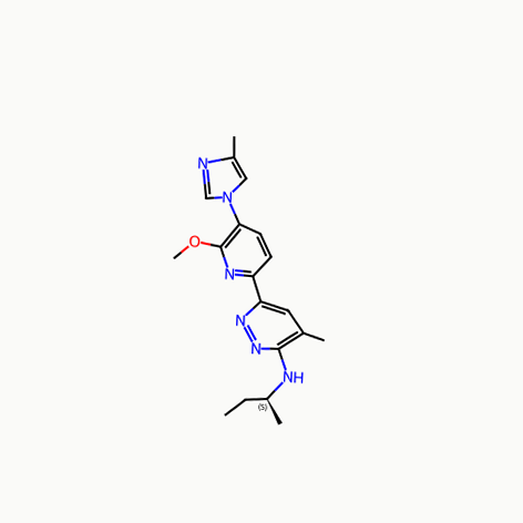 CC[C@H](C)Nc1nnc(-c2ccc(-n3cnc(C)c3)c(OC)n2)cc1C